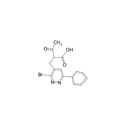 CC(=O)C(Cc1cc(-c2ccccc2)nnc1Br)C(=O)O